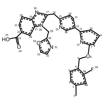 Cc1ccc(COc2cccc(-c3ccc(Cc4nc5ccc(C(=O)O)cc5n4Cc4ncco4)nc3)n2)c(F)c1